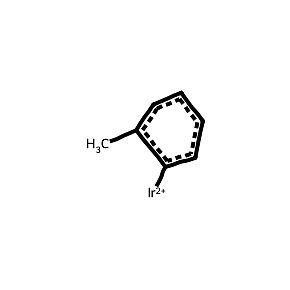 Cc1cccc[c]1[Ir+2]